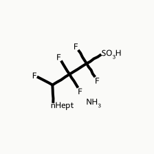 CCCCCCCC(F)C(F)(F)C(F)(F)S(=O)(=O)O.N